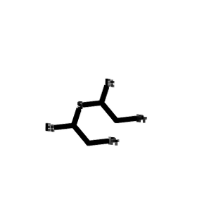 CCC(CC(C)C)SC(CC)CC(C)C